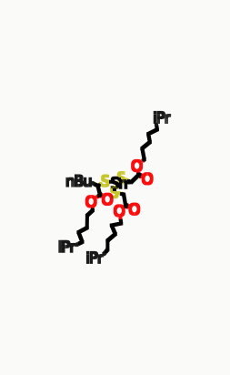 CCCCC([S][Sn]([S]CC(=O)OCCCCCC(C)C)[S]CC(=O)OCCCCCC(C)C)C(=O)OCCCCCC(C)C